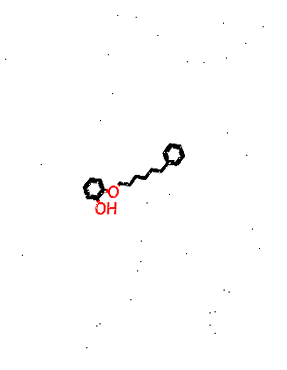 Oc1ccccc1OCCCCCCc1ccccc1